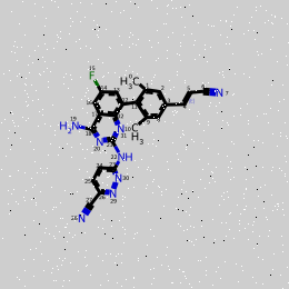 Cc1cc(/C=C/C#N)cc(C)c1-c1cc(F)cc2c(N)nc(Nc3ccc(C#N)nn3)nc12